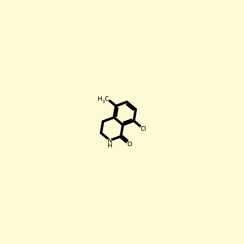 Cc1ccc(Cl)c2c1CCNC2=O